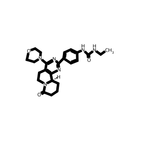 CCNC(=O)Nc1ccc(-c2nc3c(c(N4CCOCC4)n2)CCN2C(=O)CCC[C@H]32)cc1